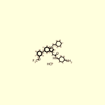 Cl.NC1CCC(NC(=O)Cc2cn(CC3CCCCC3)c3ccc(-c4cccc(OC(F)(F)F)c4)cc23)CC1